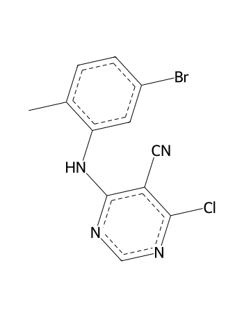 Cc1ccc(Br)cc1Nc1ncnc(Cl)c1C#N